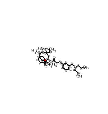 C=C[C@]1(C)C[C@@H](OC(=O)CSc2cccc(CN(CCO)CCO)c2)[C@]2(C)C(C)CC34CC(CCC3=O)(C42)[C@@H](C)[C@@H]1O